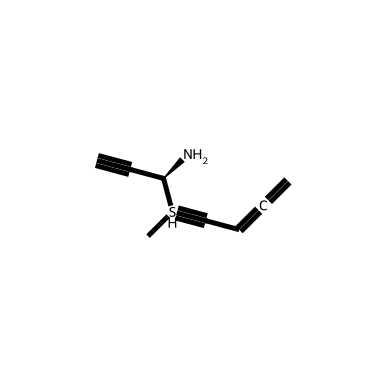 C#C[C@@H](N)[SH](C)#CC=C=C